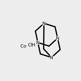 C1N2CN3CN1CN(C2)C3.Cl.[Co]